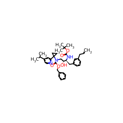 C=CCc1cccc(C[C@H](NC(=O)OC(C)(C)C)[C@H](O)CN(C(=O)OCc2ccccc2)C2(c3cc(C(C)C)ccn3)CC2)c1